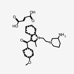 COc1ccc(C(=O)c2c(C)n(CCN3CCCC(N)C3)c3ccccc23)cc1.O=C(O)C=CC(=O)O